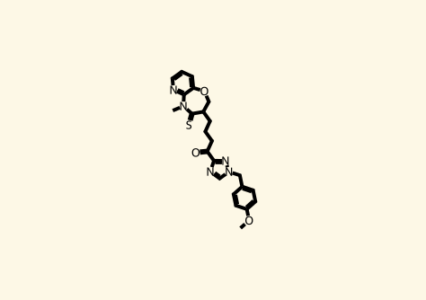 COc1ccc(Cn2cnc(C(=O)CCCC3COc4cccnc4N(C)C3=S)n2)cc1